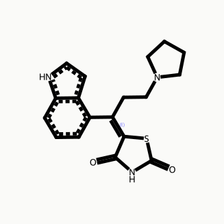 O=C1NC(=O)/C(=C(/CCN2CCCC2)c2cccc3[nH]ccc23)S1